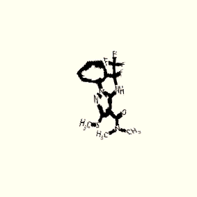 CSc1nn2c(c1C(=O)N(C)C)NC(F)(C(F)(F)F)c1ccccc1-2